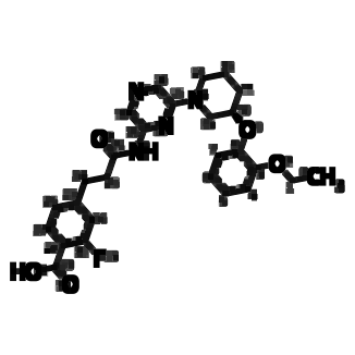 CCOc1ccccc1O[C@@H]1CCCN(c2cncc(NC(=O)CCc3ccc(C(=O)O)c(F)c3)n2)C1